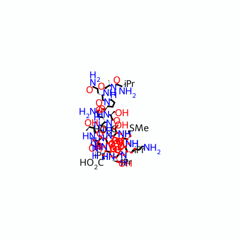 CSCC[C@H](NC(=O)[C@H](CCCCN)NC(=O)[C@H](CO)NC(=O)[C@@H](NC(=O)[C@H](C)NC(=O)[C@H](CO)NC(=O)[C@@H](NC(=O)[C@H](CCC(N)=O)NC(=O)[C@H](CO)NC(=O)[C@@H]1CCCN1C(=O)[C@H](CCC(N)=O)NC(=O)[C@H](C)NC(=O)[C@@H](N)C(C)C)[C@@H](C)O)C(C)C)C(=O)N[C@H](C(=O)N[C@@H](Cc1c[nH]cn1)C(=O)N[C@@H](CCC(=O)O)C(=O)N[C@@H](CC(C)C)C(=O)N[C@@H](CC(C)C)C(=O)N[C@@H](C)C(=O)N[C@H](C(=O)O)[C@@H](C)O)[C@@H](C)O